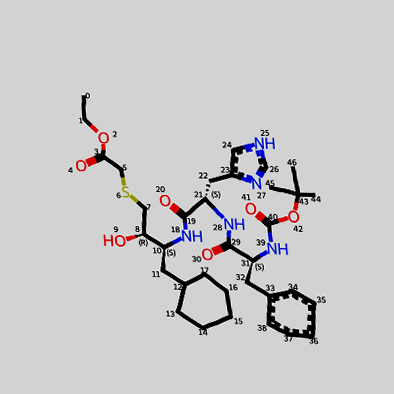 CCOC(=O)CSC[C@H](O)[C@H](CC1CCCCC1)NC(=O)[C@H](Cc1c[nH]cn1)NC(=O)[C@H](Cc1ccccc1)NC(=O)OC(C)(C)C